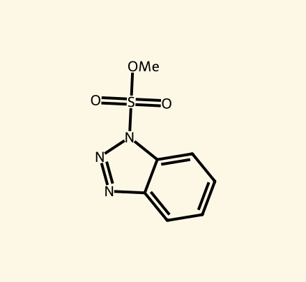 COS(=O)(=O)n1nnc2ccccc21